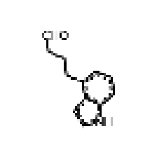 O=[C]CCCc1cccc2[nH]ccc12